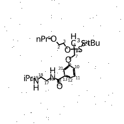 CCCOCCOC(C)(COc1cccc(C(=O)NCCNC(C)C)c1)SSC(C)(C)C